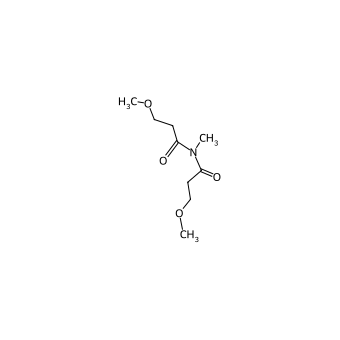 COCCC(=O)N(C)C(=O)CCOC